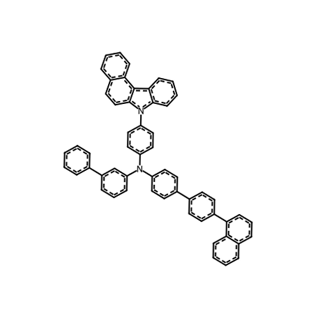 c1ccc(-c2cccc(N(c3ccc(-c4ccc(-c5cccc6ccccc56)cc4)cc3)c3ccc(-n4c5ccccc5c5c6ccccc6ccc54)cc3)c2)cc1